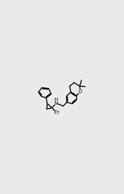 CCC1(NCc2ccc3c(c2)CCC(C)(C)O3)CC1c1ccccc1